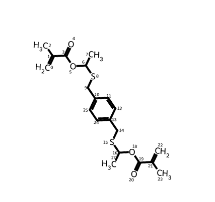 C=C(C)C(=O)OC(C)SCc1ccc(CSC(C)OC(=O)C(=C)C)cc1